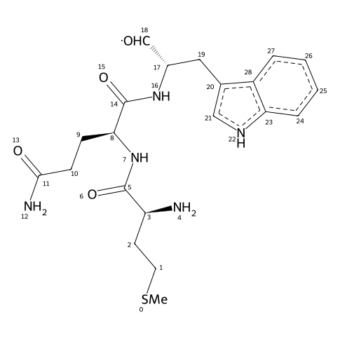 CSCC[C@H](N)C(=O)N[C@@H](CCC(N)=O)C(=O)N[C@H]([C]=O)Cc1c[nH]c2ccccc12